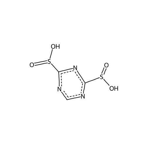 O=S(O)c1ncnc(S(=O)O)n1